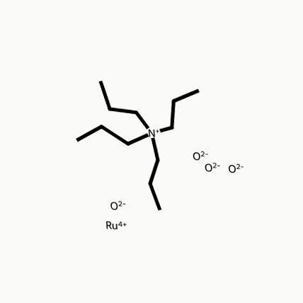 CCC[N+](CCC)(CCC)CCC.[O-2].[O-2].[O-2].[O-2].[Ru+4]